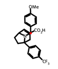 COc1ccc(CN2C3C=C(C(=O)O)CC2(c2ccc(C(F)(F)F)cc2)CC3)cc1